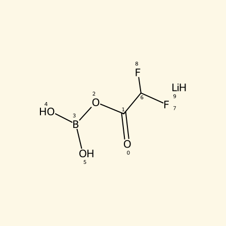 O=C(OB(O)O)C(F)F.[LiH]